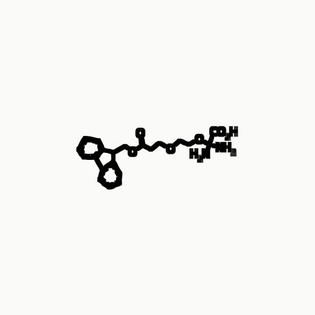 NC(N)(OCCOCCC(=O)OCC1c2ccccc2-c2ccccc21)C(=O)O